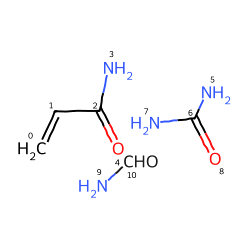 C=CC(N)=O.NC(N)=O.NC=O